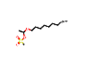 CCCCCCCCCCCCCCCCOC(C)OS(C)(=O)=O